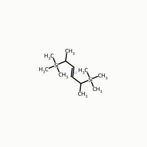 CC(/C=C/C(C)[Si](C)(C)C)[Si](C)(C)C